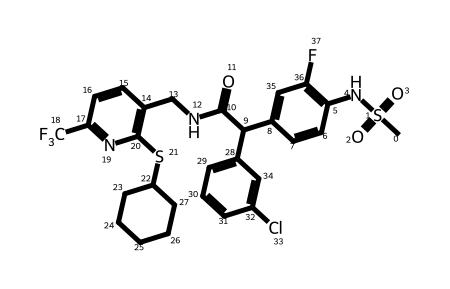 CS(=O)(=O)Nc1ccc(C(C(=O)NCc2ccc(C(F)(F)F)nc2SC2CCCCC2)c2cccc(Cl)c2)cc1F